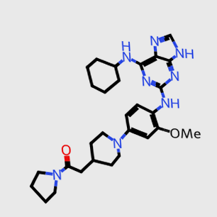 COc1cc(N2CCC(CC(=O)N3CCCC3)CC2)ccc1Nc1nc(NC2CCCCC2)c2nc[nH]c2n1